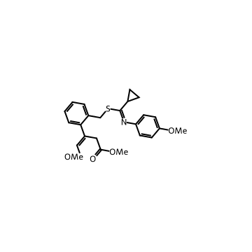 COC=C(CC(=O)OC)c1ccccc1CSC(=Nc1ccc(OC)cc1)C1CC1